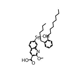 CCCCCCCCCc1ccccc1C[C@](O)(CCCC)Sc1ccc2cc(C(=O)O)c(OC)nc2c1